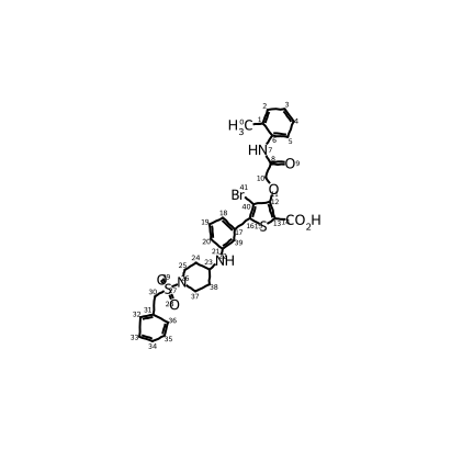 Cc1ccccc1NC(=O)COc1c(C(=O)O)sc(-c2cccc(NC3CCN(S(=O)(=O)Cc4ccccc4)CC3)c2)c1Br